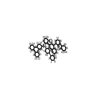 c1ccc(-c2ccc(N(c3ccc4c5ccccc5c5ccccc5c4c3)c3cccc4oc5c(-c6cccc7c6sc6ccccc67)c6ccccc6cc5c34)cc2)cc1